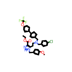 CCOC(=O)c1nnn(Cc2ccc(OC)cc2)c1CCN(Cc1ccc(Cl)cc1)Cc1ccc(-c2ccc(OC(F)(F)F)cc2)cc1